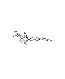 CC1(C)[C@H](NC(=O)c2ccc(N3CCN(C4CN(CC(=O)O)C4)CC3)nc2)C(C)(C)[C@H]1Oc1ccc(C#N)c(Cl)c1